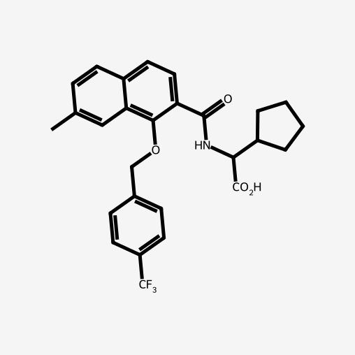 Cc1ccc2ccc(C(=O)NC(C(=O)O)C3CCCC3)c(OCc3ccc(C(F)(F)F)cc3)c2c1